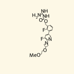 COCCOC1CN(c2ncc(-c3cccc(COC(=O)NC(=N)N)c3F)cc2F)C1